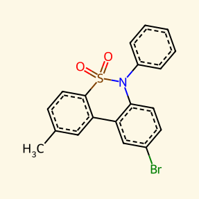 Cc1ccc2c(c1)-c1cc(Br)ccc1N(c1ccccc1)S2(=O)=O